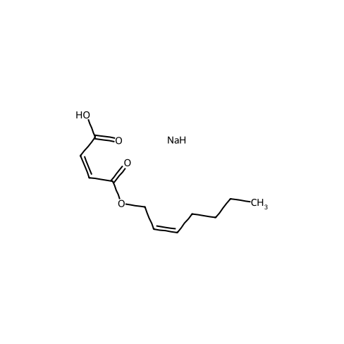 CCCC/C=C\COC(=O)/C=C\C(=O)O.[NaH]